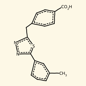 Cc1cccc(-c2nnc(Cc3ccc(C(=O)O)cc3)s2)c1